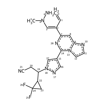 C=C/C(=C\N(C)N)c1cc2nccn2c(-c2cnn(C(CC#N)C3CC3(F)F)c2)n1